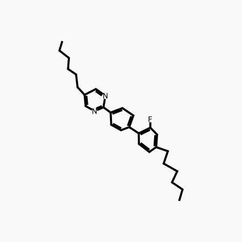 CCCCCCc1cnc(-c2ccc(-c3ccc(CCCCCC)cc3F)cc2)nc1